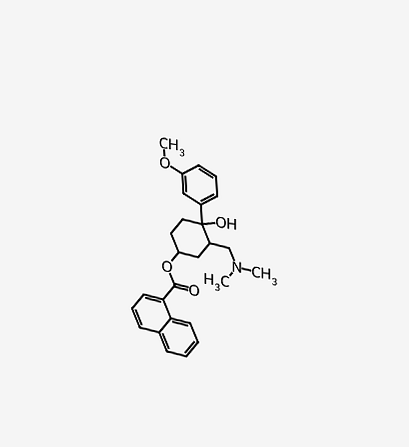 COc1cccc(C2(O)CCC(OC(=O)c3cccc4ccccc34)CC2CN(C)C)c1